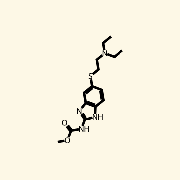 CCN(CC)CCSc1ccc2[nH]c(NC(=O)OC)nc2c1